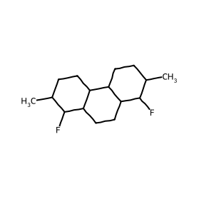 CC1CCC2C(CCC3C(F)C(C)CCC32)C1F